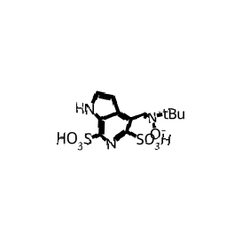 CC(C)(C)[N+]([O-])=Cc1c(S(=O)(=O)O)nc(S(=O)(=O)O)c2[nH]ccc12